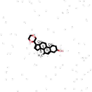 CC1C=C2CC(O)CC[C@]2(C)[C@@H]2CC[C@]3(C)C(C4COCCO4)=CC[C@H]3[C@H]12